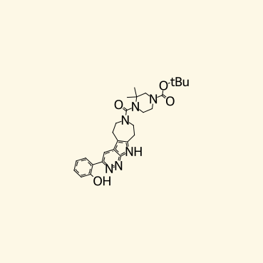 CC(C)(C)OC(=O)N1CCN(C(=O)N2CCc3[nH]c4nnc(-c5ccccc5O)cc4c3CC2)C(C)(C)C1